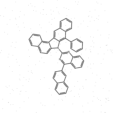 c1ccc(-c2c3ccccc3cc3c4c5ccccc5ccc4n(-c4nc(-c5ccc6ccccc6c5)c5ccccc5n4)c23)cc1